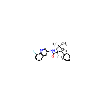 CC(C)(C)CC(C)(Cc1ccccc1)C(=O)Nc1cnc2c(F)cccc2c1